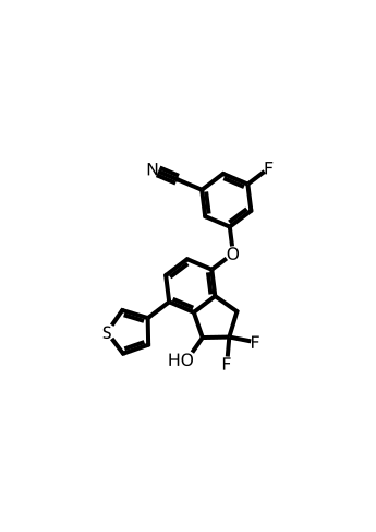 N#Cc1cc(F)cc(Oc2ccc(-c3ccsc3)c3c2CC(F)(F)C3O)c1